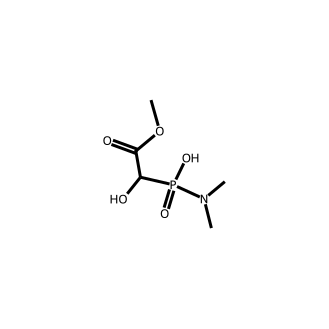 COC(=O)C(O)P(=O)(O)N(C)C